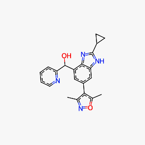 Cc1noc(C)c1-c1cc(C(O)c2ccccn2)c2nc(C3CC3)[nH]c2c1